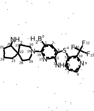 Bc1cc(Sc2cccnc2C(F)(F)F)c(N)nc1N1CCC2(CCCC2N)CC1